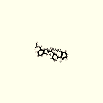 COc1ccc(F)c(F)c1-c1cc(C(=O)c2nc3c(CN(C)C)cccc3[nH]2)ccn1